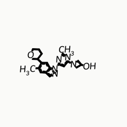 Cc1nc(N2CC(O)C2)cc(-n2ncc3cc(C)c(C4CCCOC4)cc32)n1